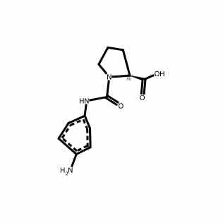 Nc1ccc(NC(=O)N2CCC[C@H]2C(=O)O)cc1